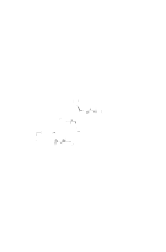 NC(=O)N1CCNC(C(F)(F)F)C1